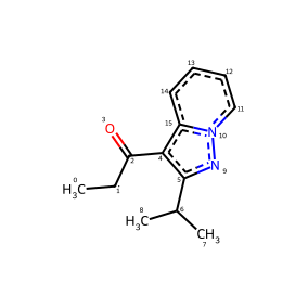 C[CH]C(=O)c1c(C(C)C)nn2ccccc12